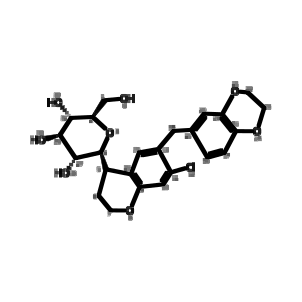 OC[C@H]1O[C@@H](C2CCOc3cc(Cl)c(Cc4ccc5c(c4)OCCO5)cc32)[C@H](O)[C@@H](O)[C@@H]1O